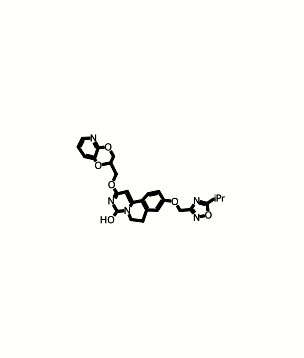 CC(C)c1nc(COc2ccc3c(c2)CCN2C3=CC(OCC3COc4ncccc4O3)=NC2O)no1